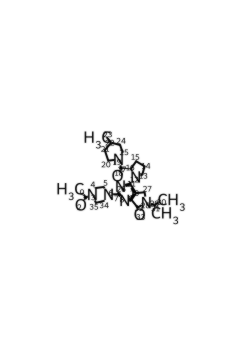 CC(=O)N1CCN(c2nc3c(c(N4CCC[C@@H]4C(=O)N4CCC(C)CC4)n2)CN(C(C)C)C3=O)CC1